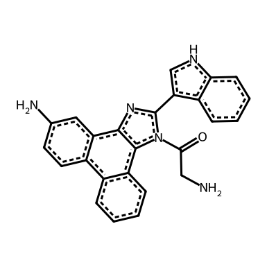 NCC(=O)n1c(-c2c[nH]c3ccccc23)nc2c3cc(N)ccc3c3ccccc3c21